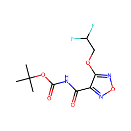 CC(C)(C)OC(=O)NC(=O)c1nonc1OCC(F)F